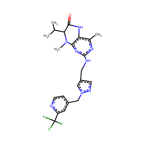 Cc1nc(NCc2cnn(Cc3ccnc(C(F)(F)F)c3)c2)nc2c1NC(=O)C(C(C)C)N2C